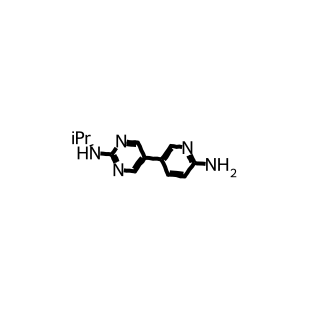 CC(C)Nc1ncc(-c2ccc(N)nc2)cn1